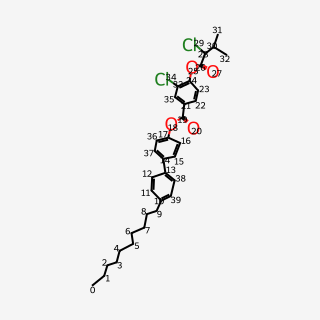 CCCCCCCCCCc1ccc(-c2ccc(OC(=O)c3ccc(OC(=O)C(Cl)C(C)C)c(Cl)c3)cc2)cc1